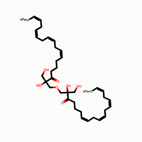 CCCCC/C=C\C/C=C\C/C=C\C/C=C\CCCC(=O)C(O)(CO)COCC(O)(CO)C(=O)CCC/C=C\C/C=C\C/C=C\C/C=C\CCCCC